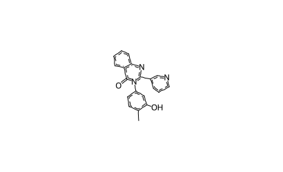 Cc1ccc(-n2c(-c3cccnc3)nc3ccccc3c2=O)cc1O